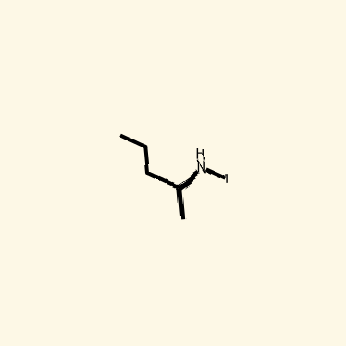 CCCC(C)NI